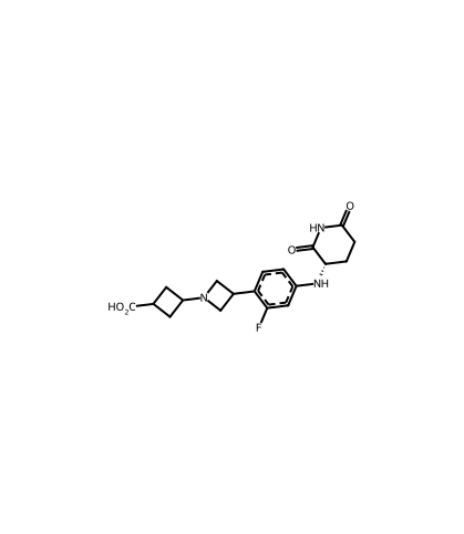 O=C1CC[C@H](Nc2ccc(C3CN(C4CC(C(=O)O)C4)C3)c(F)c2)C(=O)N1